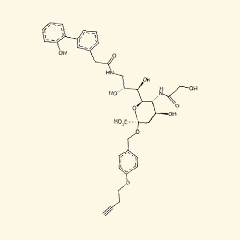 C#CCCOc1ccc(CO[C@]2(C(=O)O)C[C@H](O)[C@@H](NC(=O)CO)[C@H]([C@H](O)[C@H](O)CNC(=O)Cc3cccc(-c4ccccc4O)c3)O2)cc1